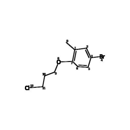 Cc1cc(Br)ccc1OCCCCl